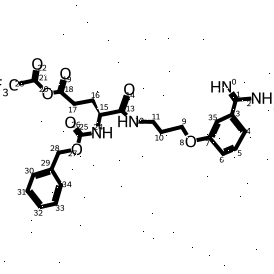 N=C(N)c1cccc(OCCCNC(=O)[C@H](CCC(=O)OC(=O)C(F)(F)F)NC(=O)OCc2ccccc2)c1